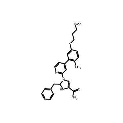 COCCCSc1ccc(C)c(-c2ccnc(N3N=C(C(N)=O)NC3Cc3ccccc3)c2)c1